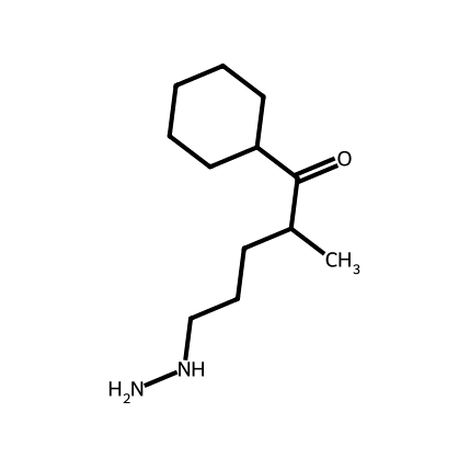 CC(CCCNN)C(=O)C1CCCCC1